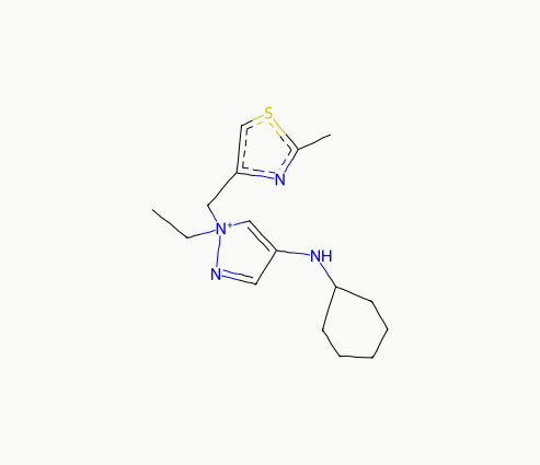 CC[N+]1(Cc2csc(C)n2)C=C(NC2CCCCC2)C=N1